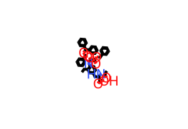 CCc1cc(CC(NC(C)=O)C(=O)O)ccc1N(C(=O)C(=O)OCc1ccccc1)c1ccccc1C(=O)OC(c1ccccc1)c1ccccc1